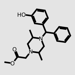 COC(=O)CN1CC(C)N(C(c2ccccc2)c2cccc(O)c2)CC1C